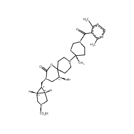 CCCC[C@H]1CN(C[C@H]2[C@@H]3CN(C(=O)OCC)C[C@@H]32)C(=O)OC12CCN(C1(C)CCN(C(=O)c3c(C)ncnc3C)CC1)CC2